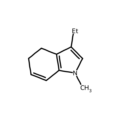 CCc1cn(C)c2c1CCC=C2